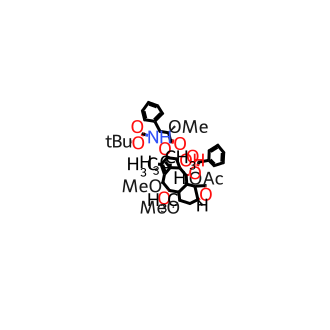 CO[C@H]1C(=O)[C@]2(C)[C@@H](OC)C[C@H]3OC[C@@]3(OC(C)=O)[C@H]2[C@H](OC(=O)c2ccccc2)[C@@]2(O)C[C@H](OC(=O)[C@H](OC)[C@@H](NC(=O)OC(C)(C)C)c3ccccc3)C(C)=C1C2(C)C